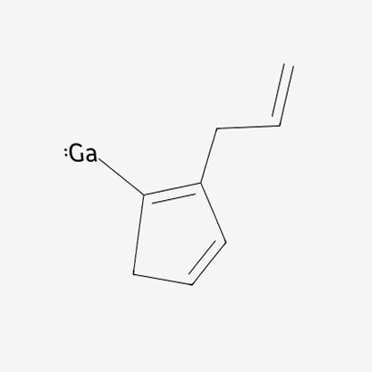 C=CCC1=[C]([Ga])CC=C1